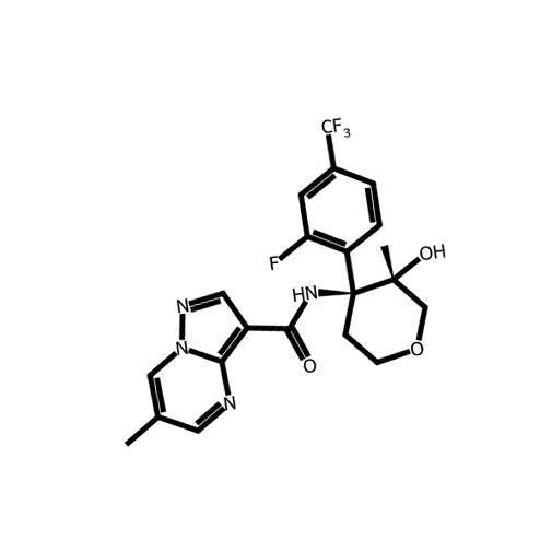 Cc1cnc2c(C(=O)N[C@]3(c4ccc(C(F)(F)F)cc4F)CCOC[C@@]3(C)O)cnn2c1